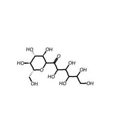 O=C(C(O)C(O)C(O)C(O)CO)C1O[C@H](CO)[C@@H](O)[C@H](O)[C@H]1O